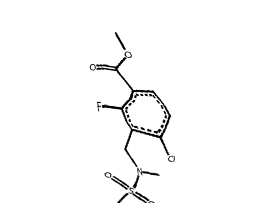 COC(=O)c1ccc(Cl)c(CN(C)S(C)(=O)=O)c1F